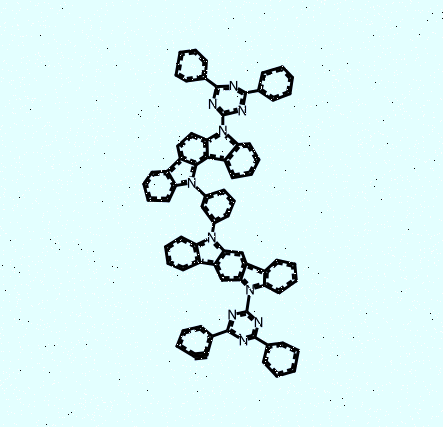 c1cccc(-c2nc(-c3ccccc3)nc(-n3c4ccccc4c4cc5c(cc43)c3ccccc3n5-c3cccc(-n4c5ccccc5c5ccc6c(c7ccccc7n6-c6nc(-c7ccccc7)nc(-c7ccccc7)n6)c54)c3)n2)c#1